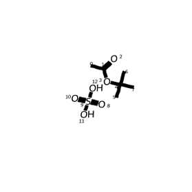 CC(=O)OC(C)(C)C.O=S(=O)(O)O